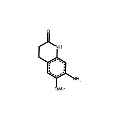 COc1cc2c(cc1N)NC(=O)CC2